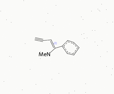 C#C/C=C(\NC)c1ccccc1